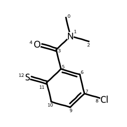 CN(C)C(=O)C1=CC(Cl)=CCC1=S